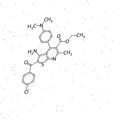 CCOC(=O)c1c(C)nc2sc(C(=O)c3ccc(Cl)cc3)c(N)c2c1-c1ccc(N(C)C)cc1